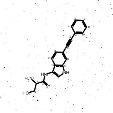 NC(CO)C(=O)Nc1c[nH]c2cc(C#Cc3ccccc3)ccc12